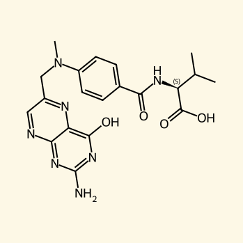 CC(C)[C@H](NC(=O)c1ccc(N(C)Cc2cnc3nc(N)nc(O)c3n2)cc1)C(=O)O